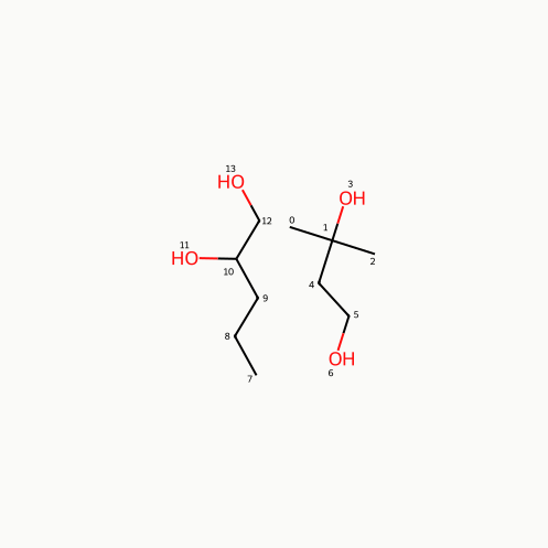 CC(C)(O)CCO.CCCC(O)CO